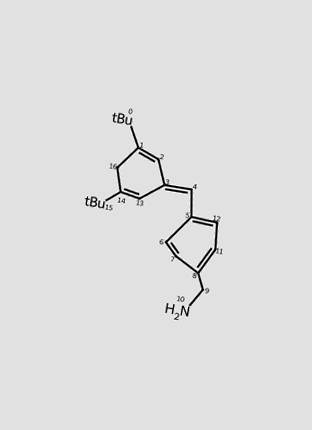 CC(C)(C)C1=CC(=Cc2ccc(CN)cc2)C=C(C(C)(C)C)C1